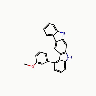 COc1cccc(-c2cccc3[nH]c4cc5[nH]c6ccccc6c5cc4c23)c1